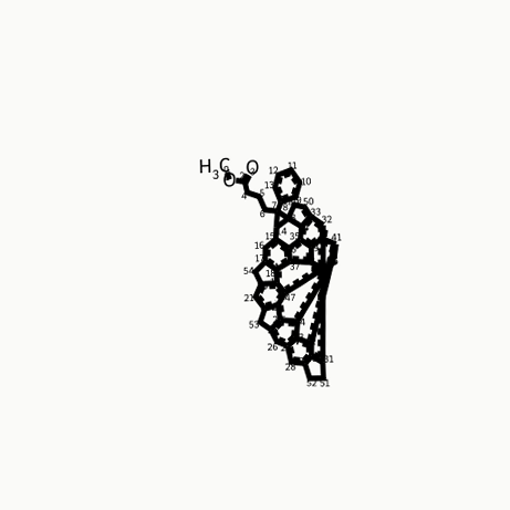 COC(=O)CCCC1(c2ccccc2)C2c3cc4c5c6c(cc7c8c9c(cc%10cc%11c%12c(c%13c%14c(c%15c3c5c3c%15c%13c5c%12c%10c9c5c3c68)C21CC=%14)CC%11)C7)C4